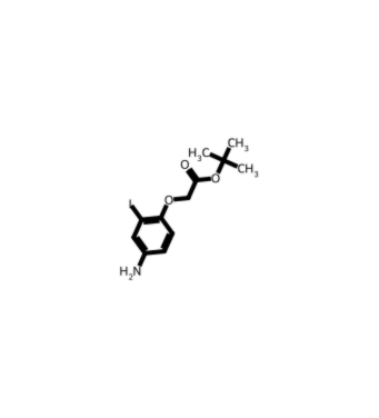 CC(C)(C)OC(=O)COc1ccc(N)cc1I